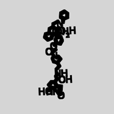 O=C(COc1cccc([C@@](O)(C(=O)O)c2ccccc2CC2CCN(Cc3ccccc3)CC2)c1)N1CCC(CCNC[C@H](O)c2ccc(O)c3[nH]c(=O)ccc23)CC1